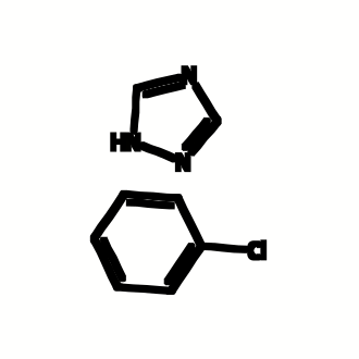 Clc1ccccc1.c1nc[nH]n1